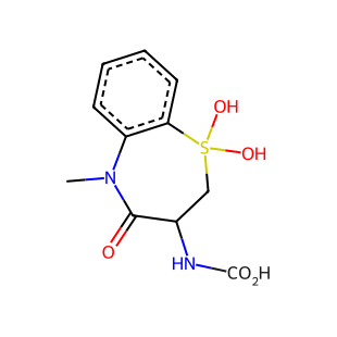 CN1C(=O)C(NC(=O)O)CS(O)(O)c2ccccc21